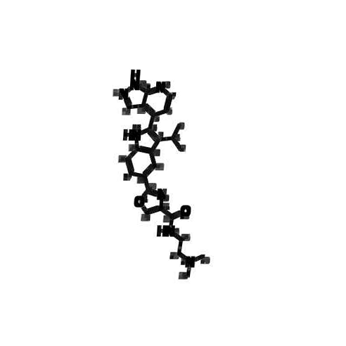 CC(C)c1c(-c2ccnc3[nH]ncc23)[nH]c2ccc(-c3nc(C(=O)NCCN(C)C)co3)cc12